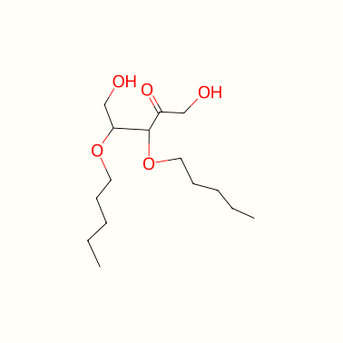 CCCCCOC(CO)C(OCCCCC)C(=O)CO